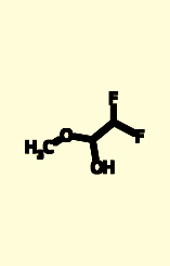 COC(O)C(F)F